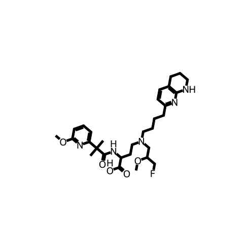 COc1cccc(C(C)(C)C(=O)NC(CCN(CCCCc2ccc3c(n2)NCCC3)CC(CF)OC)C(=O)O)n1